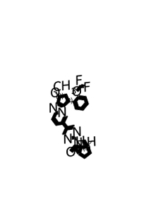 CO[C@@H]1C[C@H](c2ccccc2OC(F)F)c2c1nc1ccc(-c3cnc(N4CC5CC[C@H](C4)[C@H]5[C]=O)nc3)cn21